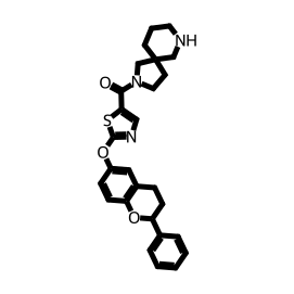 O=C(c1cnc(Oc2ccc3c(c2)CCC(c2ccccc2)O3)s1)N1CCC2(CCCNC2)C1